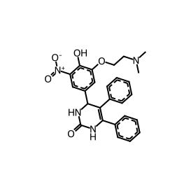 CN(C)CCOc1cc(C2NC(=O)NC(c3ccccc3)=C2c2ccccc2)cc([N+](=O)[O-])c1O